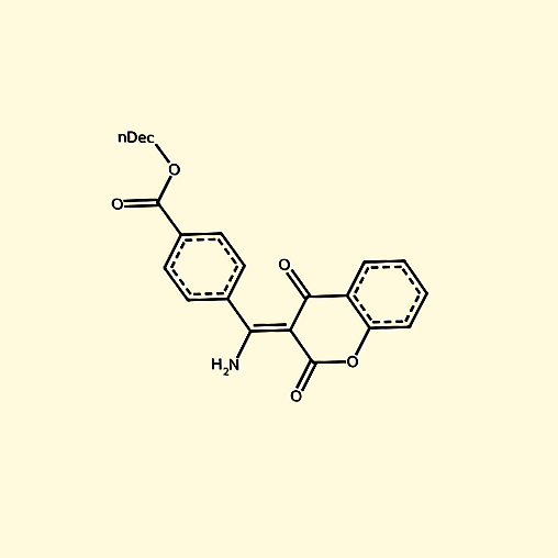 CCCCCCCCCCOC(=O)c1ccc(/C(N)=C2/C(=O)Oc3ccccc3C2=O)cc1